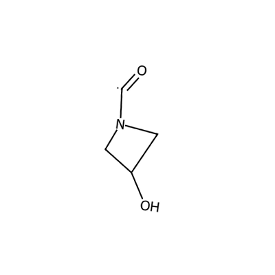 O=[C]N1CC(O)C1